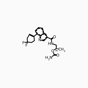 C[C@H](CNC(=O)c1cnc2c(C3=CCC(F)(F)CC3)cccc2c1)OC(N)=O